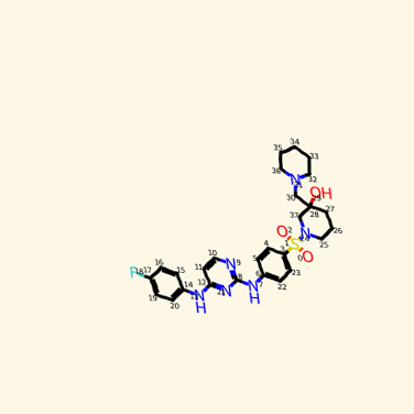 O=S(=O)(c1ccc(Nc2nccc(Nc3ccc(F)cc3)n2)cc1)N1CCCC(O)(CN2CCCCC2)C1